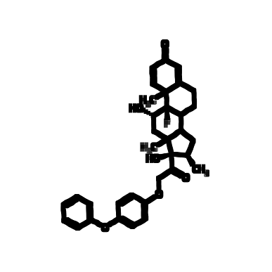 C[C@@H]1CC2C3CCC4=CC(=O)C=CC4(C)[C@@]3(F)[C@@H](O)CC2(C)[C@@]1(O)C(=O)COc1ccc(Oc2ccccc2)cc1